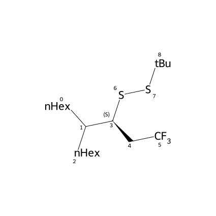 CCCCCCC(CCCCCC)[C@H](CC(F)(F)F)SSC(C)(C)C